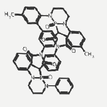 Cc1ccc(N2CCCN(c3ccc(C)cc3-c3cccc(N4C(=O)CC(P5(=O)N(c6ccccc6)CCCN5c5ccccc5)C4=O)c3)P2(=O)C2CC(=O)N(c3ccccc3)C2=O)cc1